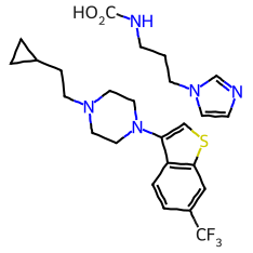 FC(F)(F)c1ccc2c(N3CCN(CCC4CC4)CC3)csc2c1.O=C(O)NCCCn1ccnc1